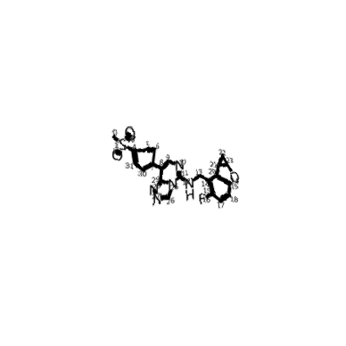 CS(=O)(=O)c1ccc(-c2cnc(NCc3c(F)ccc4c3C3CC3O4)n3cnnc23)cc1